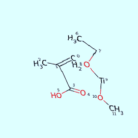 C=C(C)C(=O)O.CC[O][Ti][O]C